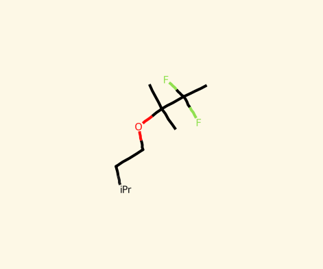 CC(C)CCOC(C)(C)C(C)(F)F